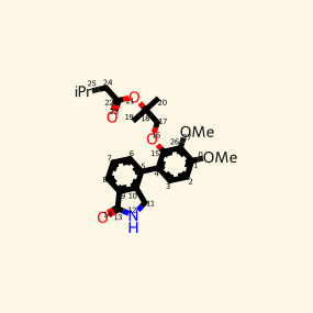 COc1ccc(-c2cccc3c2CNC3=O)c(OCC(C)(C)OC(=O)CC(C)C)c1OC